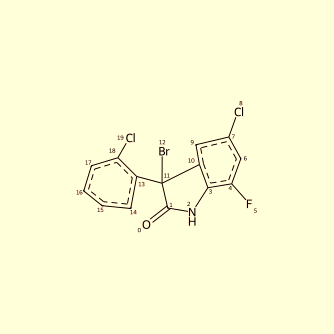 O=C1Nc2c(F)cc(Cl)cc2C1(Br)c1ccccc1Cl